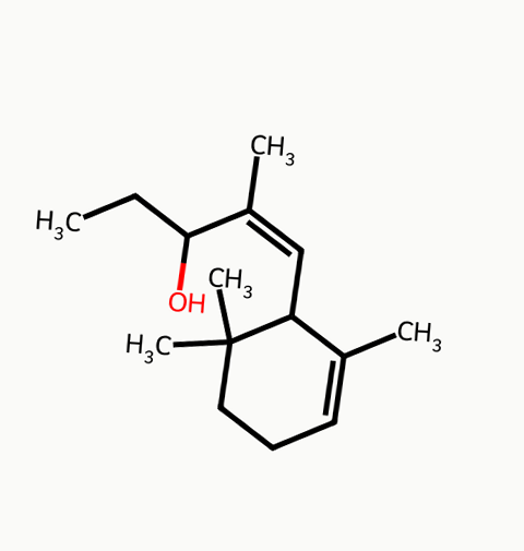 CCC(O)C(C)=CC1C(C)=CCCC1(C)C